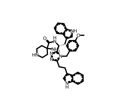 COc1ccc(Cn2c(CCc3c[nH]c4ccccc34)nnc2[C@@H](Cc2c[nH]c3ccccc23)NC(=O)C2(N)CCNCC2)cc1